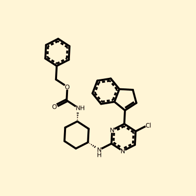 O=C(N[C@H]1CCC[C@@H](Nc2ncc(Cl)c(C3=CCc4ccccc43)n2)C1)OCc1ccccc1